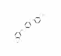 Cc1cccc(Oc2ccc(OCc3ccc4c(c3)OCO4)cc2)c1